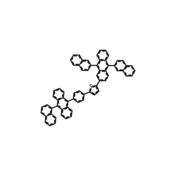 c1ccc2cc(-c3c4ccccc4c(-c4ccc5ccccc5c4)c4cc(-c5ccc(-c6ccc(-c7c8ccccc8c(-c8cccc9ccccc89)c8ccccc78)cc6)s5)ccc34)ccc2c1